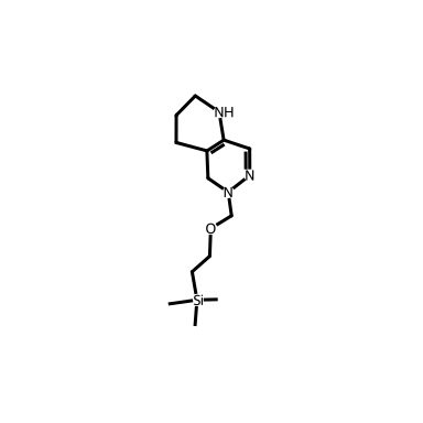 C[Si](C)(C)CCOCN1CC2=C(C=N1)NCCC2